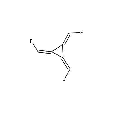 FC=C1C(=CF)C1=CF